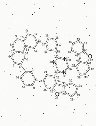 c1ccc(-c2ccc3ccc4ccc(-c5cccc(-c6nc(-c7cccc8oc9ccccc9c78)nc(-c7cccc8oc9ccccc9c78)n6)c5)cc4c3c2)cc1